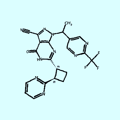 CC(c1cnc(C(F)(F)F)nc1)n1nc(C#N)c2c(=O)[nH]c([C@@H]3CC[C@H]3c3ncccn3)nc21